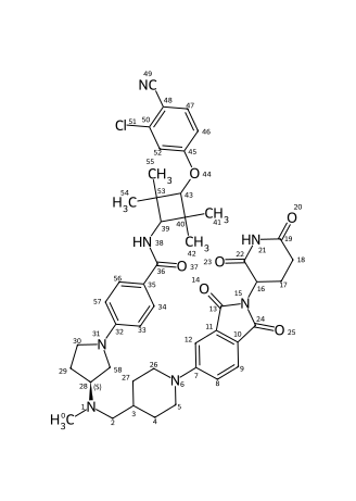 CN(CC1CCN(c2ccc3c(c2)C(=O)N(C2CCC(=O)NC2=O)C3=O)CC1)[C@H]1CCN(c2ccc(C(=O)NC3C(C)(C)C(Oc4ccc(C#N)c(Cl)c4)C3(C)C)cc2)C1